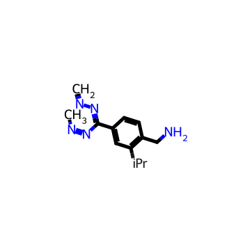 C=N/N=C(\N=N/C)c1ccc(CN)c(C(C)C)c1